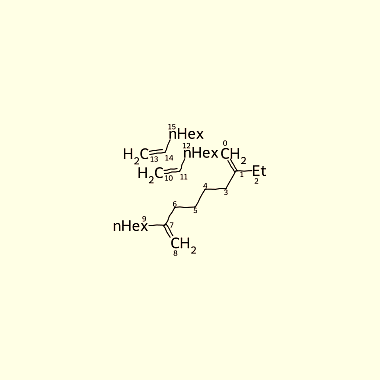 C=C(CC)CCCCC(=C)CCCCCC.C=CCCCCCC.C=CCCCCCC